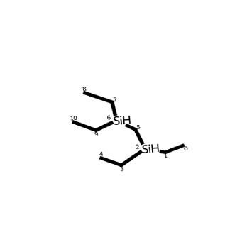 CC[SiH](CC)C[SiH](CC)CC